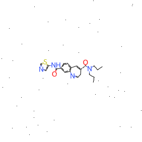 CCCN(CCC)C(=O)C1=Cc2ccc(C(=O)Nc3cncs3)cc2N=CC1